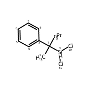 CCCC(C)(c1ccccc1)[SiH](Cl)Cl